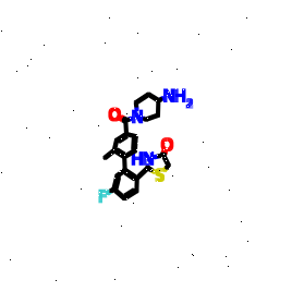 Cc1cc(C(=O)N2CCC(N)CC2)ccc1-c1cc(F)ccc1C1NC(=O)CS1